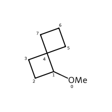 COC1CCC12CCC2